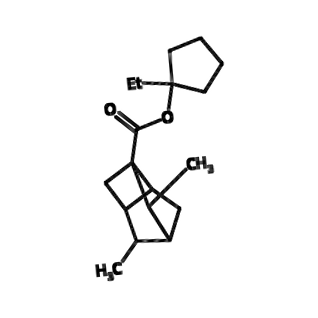 CCC1(OC(=O)C23CC4C(C)C(CC42)C3C)CCCC1